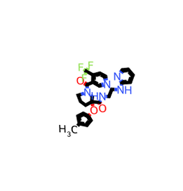 Cc1ccc(OC2(C(=O)NCCNc3ccccn3)CCCN(C(=O)c3cnccc3C(F)(F)F)C2)cc1